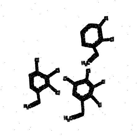 C=Cc1cc(Cl)c(Cl)c(Cl)c1Cl.C=Cc1ccc(Cl)c(Cl)c1Cl.C=Cc1cccc(Cl)c1Cl